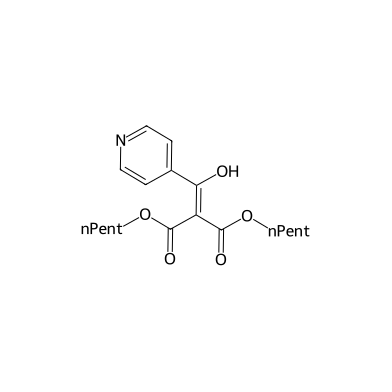 CCCCCOC(=O)C(C(=O)OCCCCC)=C(O)c1ccncc1